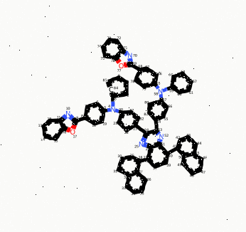 c1ccc(N(c2ccc(-c3nc4ccccc4o3)cc2)c2ccc(-c3nc4c(-c5cccc6ccccc56)ccc(-c5cccc6ccccc56)c4nc3-c3ccc(N(c4ccccc4)c4ccc(-c5nc6ccccc6o5)cc4)cc3)cc2)cc1